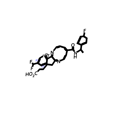 C=C(/C=C\C(=C/CCC)C(F)F)c1ncccc(C(=O)NC(C)C2=CCC(F)C=C2)ccnc1CCCCC(=O)O